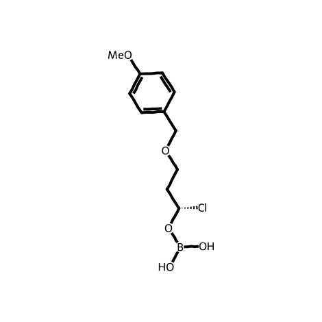 COc1ccc(COCC[C@H](Cl)OB(O)O)cc1